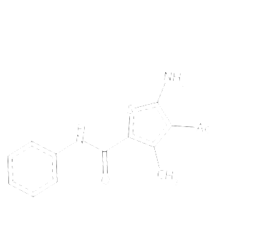 CC(=O)c1c(N)sc(C(=O)Nc2ccccc2)c1C